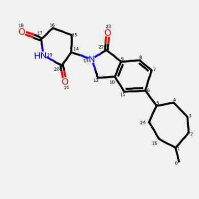 CC1CCCC(c2ccc3c(c2)CN(C2CCC(=O)NC2=O)C3=O)CC1